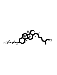 CC(CO)CCC[C@@H](C)[C@H]1CC[C@H]2[C@@H]3CC=C4C[C@@H](OSOOO)CC[C@]4(C)[C@H]3CC[C@]12C